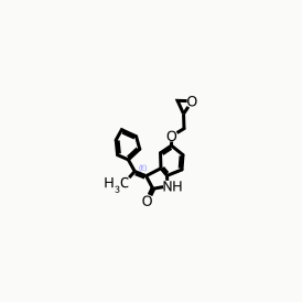 C/C(=C1\C(=O)Nc2ccc(OCC3CO3)cc21)c1ccccc1